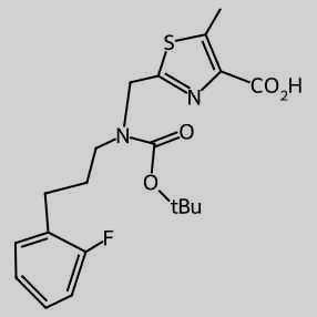 Cc1sc(CN(CCCc2ccccc2F)C(=O)OC(C)(C)C)nc1C(=O)O